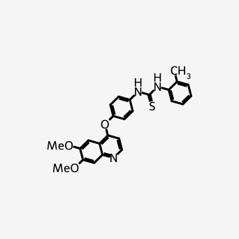 COc1cc2nccc(Oc3ccc(NC(=S)Nc4ccccc4C)cc3)c2cc1OC